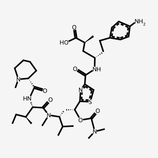 CC[C@H](C)[C@H](NC(=O)[C@H]1CCCCN1C)C(=O)N(C)[C@H](C[C@@H](OC(=O)N(C)C)c1nc(C(=O)N[C@@H](CCc2ccc(N)cc2)C[C@H](C)C(=O)O)cs1)C(C)C